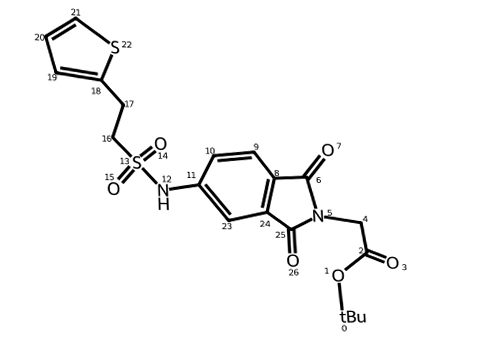 CC(C)(C)OC(=O)CN1C(=O)c2ccc(NS(=O)(=O)CCc3cccs3)cc2C1=O